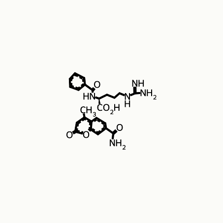 Cc1cc(=O)oc2cc(C(N)=O)ccc12.N=C(N)NCCC[C@H](NC(=O)c1ccccc1)C(=O)O